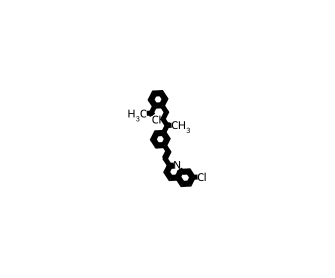 C=C(C)c1ccccc1CCC(C)c1cccc(C=Cc2ccc3ccc(Cl)cc3n2)c1